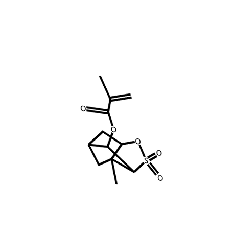 C=C(C)C(=O)OC1C2CC3OS(=O)(=O)C1C3(C)C2